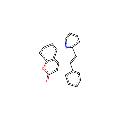 C(=C\c1ccccn1)/c1ccccc1.O=c1ccc2ccccc2o1